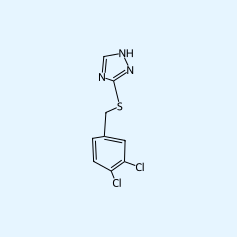 Clc1ccc(CSc2nc[nH]n2)cc1Cl